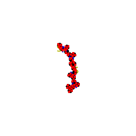 c1ccc(-c2ccccc2-c2ccc(-n3c4ccccc4c4cc(-c5ccc6c(c5)c5ccccc5n6-c5ccc6sc7cc(-c8cccc9c(-c%10ccc(-n%11c%12ccccc%12c%12cc(-c%13ccc%14c(c%13)c%13ccccc%13n%14-c%13ccc%14sc%15ccccc%15c%14c%13)ccc%12%11)cc%10)cccc89)ccc7c6c5)ccc43)cc2)cc1